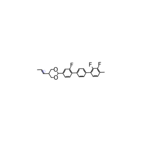 C/C=C/C1COC(c2ccc(-c3ccc(-c4ccc(C)c(F)c4F)cc3)c(F)c2)OC1